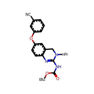 CCCN1Cc2cc(Oc3cccc(C#N)c3)ccc2N=C1NC(=O)OC(C)(C)C